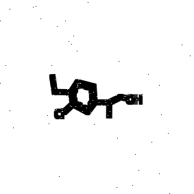 CCc1ccc([C](C)CO)cc1Cl